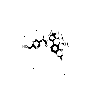 COc1c([C@H]2[C@H](C(=O)Nc3cnc(CO)nc3)OC(C)(C)[C@H]2C)ccc(OC(F)F)c1F